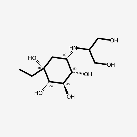 CC[C@@]1(O)C[C@H](NC(CO)CO)[C@H](O)[C@@H](O)[C@@H]1O